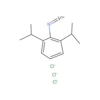 CC(C)c1cccc(C(C)C)c1[N]=[V+3].[Cl-].[Cl-].[Cl-]